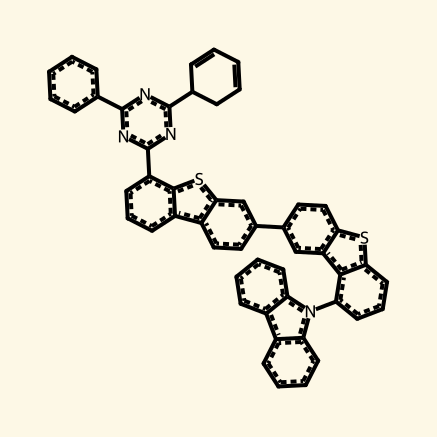 C1=CCC(c2nc(-c3ccccc3)nc(-c3cccc4c3sc3cc(-c5ccc6sc7cccc(-n8c9ccccc9c9ccccc98)c7c6c5)ccc34)n2)C=C1